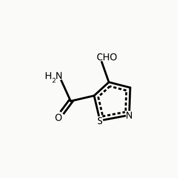 NC(=O)c1sncc1C=O